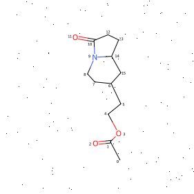 CC(=O)OCCC1CCN2C(=O)CCC2C1